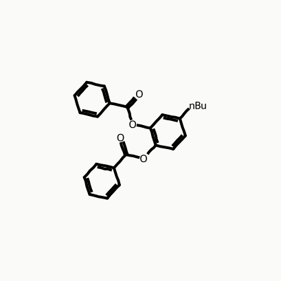 CCCCc1ccc(OC(=O)c2ccccc2)c(OC(=O)c2ccccc2)c1